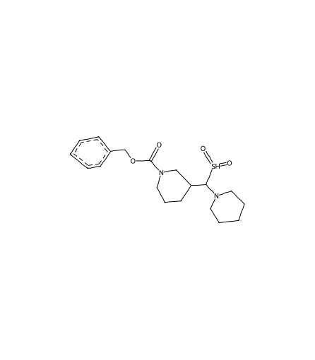 O=C(OCc1ccccc1)N1CCCC(C(N2CC[CH]CC2)[SH](=O)=O)C1